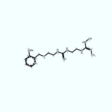 C/N=C(/NC#N)NCCNC(=N)NCCSCc1ncccc1OC